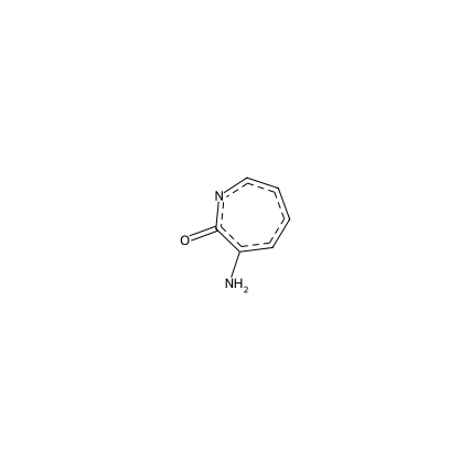 Nc1ccccnc1=O